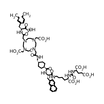 C=C/C=C\C(=C/C=C)C[C@H](NC(=O)CN1CCN(CC(=O)O)CCN(CC(=O)NC[C@H]2CC[C@H](C(=O)N[C@@H](Cc3ccc4ccccc4c3)C(=O)NCCCC[C@H](NC(=O)N[C@@H](CCC(=O)O)C(=O)O)C(=O)O)CC2)CCN(CC(=O)O)CC1)C(=O)SO